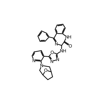 O=C1Nc2ccccc2C(c2ccccc2)=NC1Nc1nnc(-c2cccnc2N2CC3CCC(C2)O3)o1